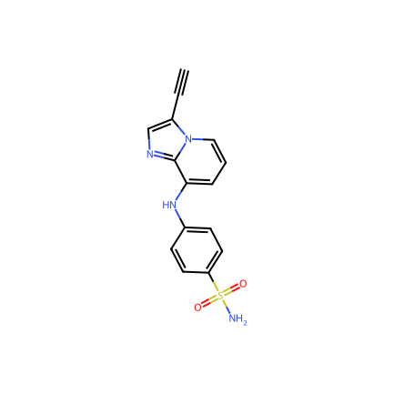 C#Cc1cnc2c(Nc3ccc(S(N)(=O)=O)cc3)cccn12